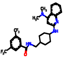 CN(C)c1cc(NC2CCC(CNC(=O)c3cc(C(F)(F)F)cc(C(F)(F)F)c3)CC2)nc2ccccc12